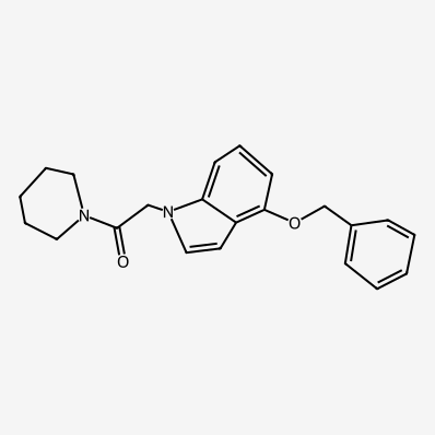 O=C(Cn1ccc2c(OCc3ccccc3)cccc21)N1CCCCC1